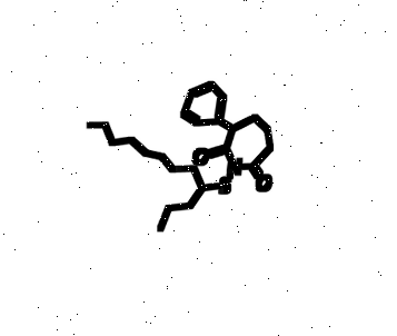 CCCCCCCCC(CCC)SN1C(=O)CCCC(c2ccccc2)C1=O